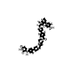 CNc1cc(=O)n(-c2ccnc3c2cc([C@@H](C)N2CC=C(c4c(F)cc(C(=O)N5CCn6nc(CN7CCC(c8ccc(NC9CCC(=O)NC9=O)cc8F)CC7)cc6C5)cc4F)CC2)n3C)cc1F